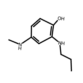 CCCNc1cc(NC)ccc1O